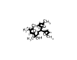 Cc1ccc(C(CCC(C)(O)C2=CC(C)[C@@H](C)O2)c2ccc(C)o2)o1